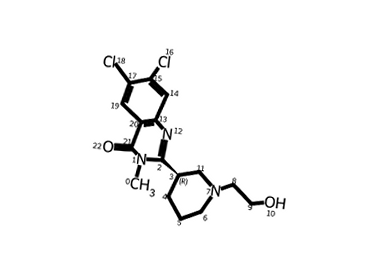 Cn1c([C@@H]2CCCN(CCO)C2)nc2cc(Cl)c(Cl)cc2c1=O